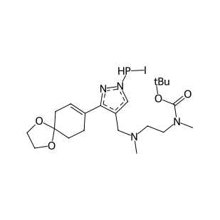 CN(CCN(C)C(=O)OC(C)(C)C)Cc1cn(PI)nc1C1=CCC2(CC1)OCCO2